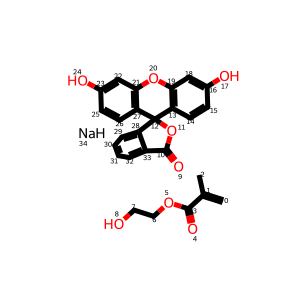 C=C(C)C(=O)OCCO.O=C1OC2(c3ccc(O)cc3Oc3cc(O)ccc32)c2ccccc21.[NaH]